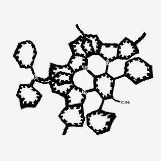 Cc1ccc2c(c1)c1cc(C)ccc1n2-c1c(-c2ccccc2)c(C#N)c(-c2ccccc2)c(-n2c3ccc(C)cc3c3cc(C)ccc32)c1-n1c2ccccc2c2cc(N(c3ccccc3)c3ccccc3)ccc21